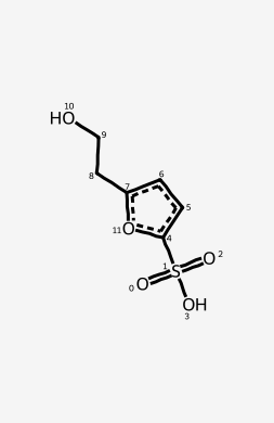 O=S(=O)(O)c1ccc(CCO)o1